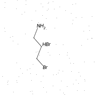 Br.NCCCBr